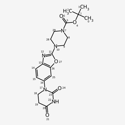 CC(C)(C)OC(=O)N1CCN(c2nc3ccc(N4CCC(=O)NC4=O)cc3o2)CC1